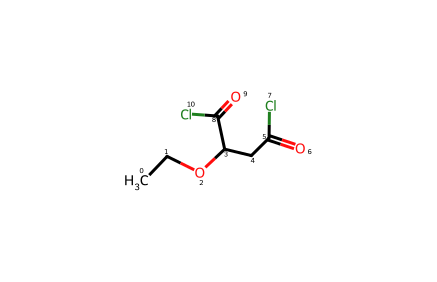 CCOC(CC(=O)Cl)C(=O)Cl